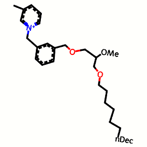 CCCCCCCCCCCCCCCCOCC(COCc1cccc(C[n+]2cccc(C)c2)c1)OC